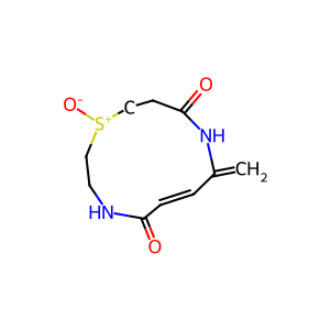 C=C1/C=C/C(=O)NCC[S+]([O-])CCC(=O)N1